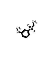 CCS(=O)(=O)c1cccc(OC)c1